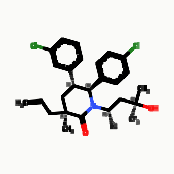 C=CC[C@@]1(C)C[C@H](c2cccc(Cl)c2)[C@@H](c2ccc(Cl)cc2)N([C@@H](CC)C[C@@](C)(O)C(F)(F)F)C1=O